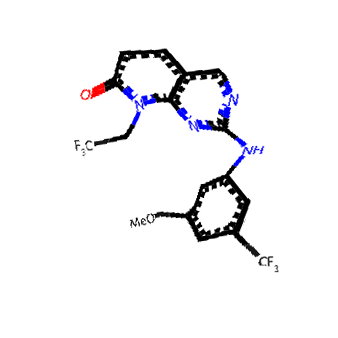 COc1cc(Nc2ncc3ccc(=O)n(CC(F)(F)F)c3n2)cc(C(F)(F)F)c1